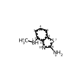 CBc1cccc2sc(N)nc12